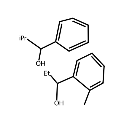 CC(C)C(O)c1ccccc1.CCC(O)c1ccccc1C